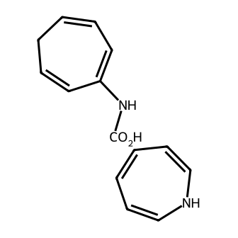 C1=CC=CNC=C1.O=C(O)NC1=CC=CCC=C1